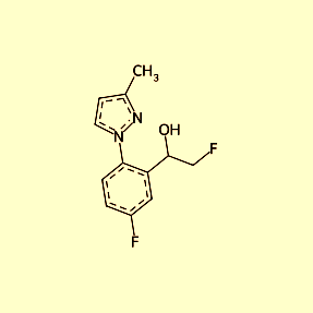 Cc1ccn(-c2ccc(F)cc2C(O)CF)n1